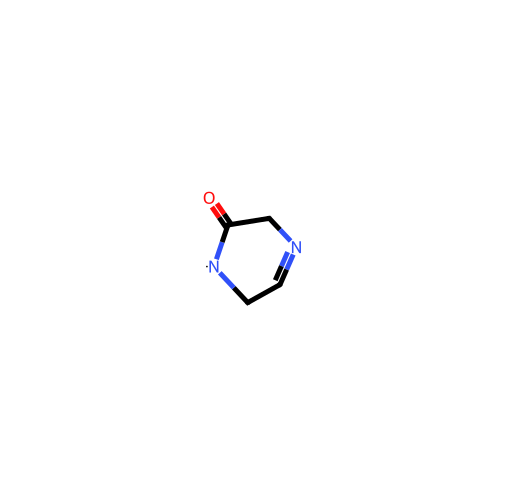 O=C1CN=CC[N]1